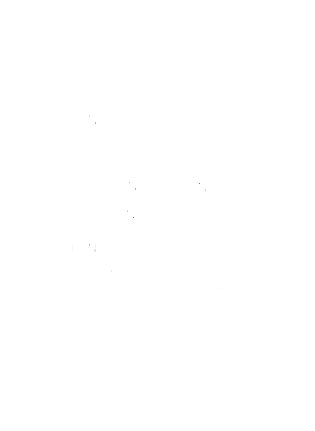 N.N#Cc1cc(N)n(-c2c(Cl)cc(C(F)(F)F)cc2Cl)n1